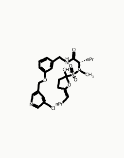 CCC/C=C1\CCC(C)(S(=O)(=O)N(C)[C@@H](CCC)C(=O)NCc2cccc(OCc3cncc(Cl)c3)c2)O1